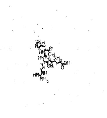 N=C(N)NCCC[C@H](NC(=O)N[C@@H](Cc1cnc[nH]1)C(=O)O)c1nc([C@@H](N)CCC(=O)O)no1